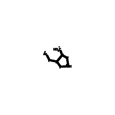 CC(=O)CC1CNCC1C(=O)O